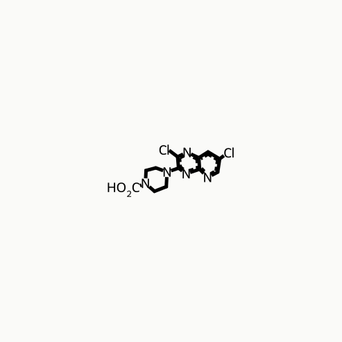 O=C(O)N1CCN(c2nc3ncc(Cl)cc3nc2Cl)CC1